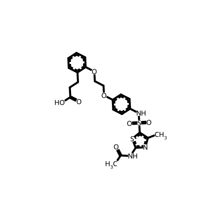 CC(=O)Nc1nc(C)c(S(=O)(=O)Nc2ccc(OCCOc3ccccc3CCC(=O)O)cc2)s1